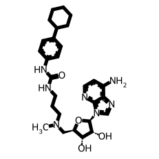 CN(CCCNC(=O)Nc1ccc(C2CCCCC2)cc1)C[C@H]1O[C@@H](n2cnc3c(N)ccnc32)[C@H](O)[C@@H]1O